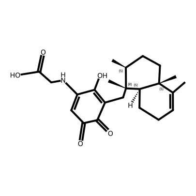 CC1=CCC[C@H]2[C@](C)(CC3=C(O)C(NCC(=O)O)=CC(=O)C3=O)[C@@H](C)CC[C@]12C